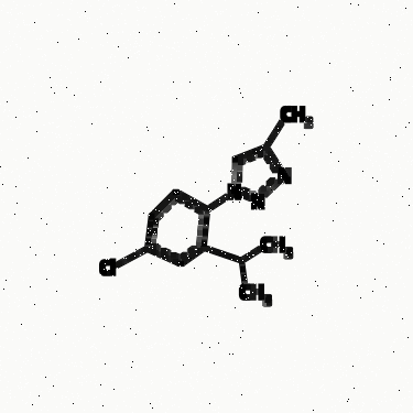 Cc1cn(-c2ccc(Cl)cc2C(C)C)nn1